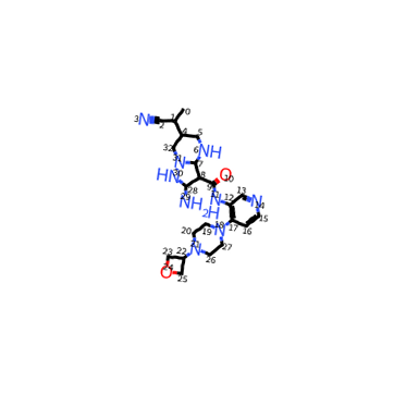 CC(C#N)C1CNC2C(C(=O)Nc3cnccc3N3CCN(C4COC4)CC3)C(N)NN2C1